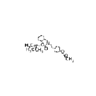 COCOc1ccc(CCN(Cc2ccccc2)C(=O)OCC[Si](C)(C)C)cc1